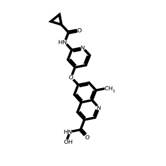 Cc1cc(Oc2ccnc(NC(=O)C3CC3)c2)cc2cc(C(=O)NO)cnc12